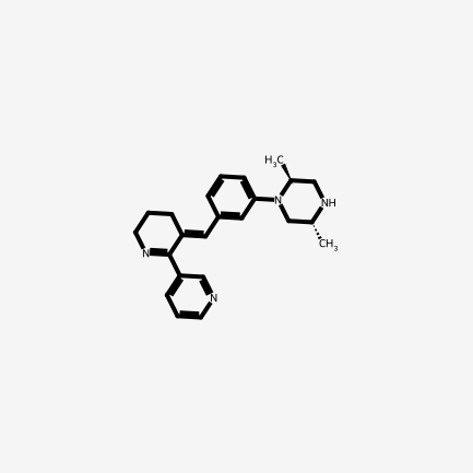 C[C@@H]1CN(c2cccc(C=C3CCCN=C3c3cccnc3)c2)[C@@H](C)CN1